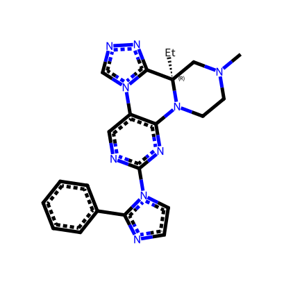 CC[C@]12CN(C)CCN1c1nc(-n3ccnc3-c3ccccc3)ncc1-n1cnnc12